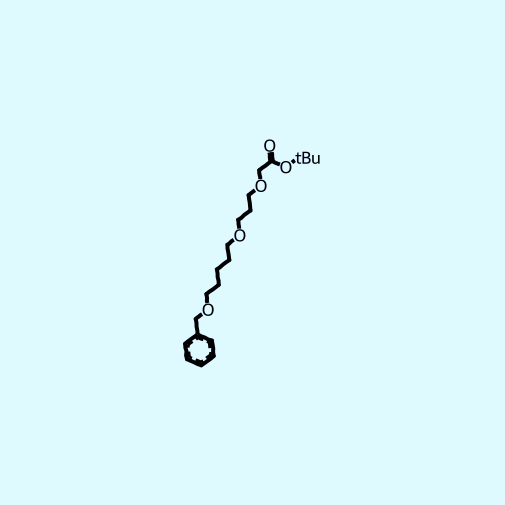 CC(C)(C)OC(=O)COCCCOCCCCCOCc1ccccc1